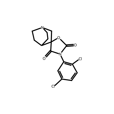 O=C1OC2(CN3CCC2CC3)C(=O)N1c1cc(Cl)ccc1Cl